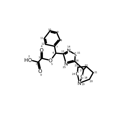 O=C(O)C(=O)OC(c1ccccc1)c1nsc(C2CN3CCC2CC3)n1